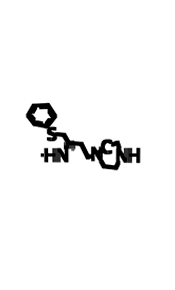 [NH][C@H](CCN1CCNCC1)CSc1ccccc1